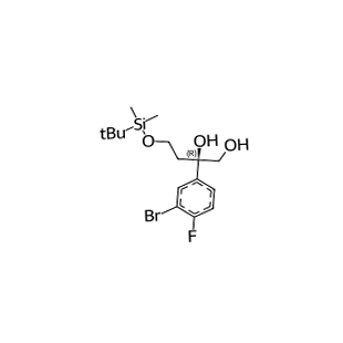 CC(C)(C)[Si](C)(C)OCC[C@](O)(CO)c1ccc(F)c(Br)c1